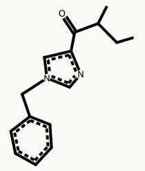 CCC(C)C(=O)c1cn(Cc2ccccc2)cn1